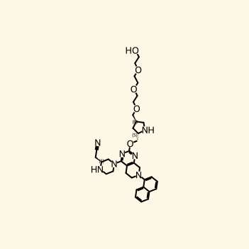 N#CC[C@H]1CN(c2nc(OC[C@@H]3C[C@@H](COCCOCCOCCO)CN3)nc3c2CCN(c2cccc4ccccc24)C3)CCN1